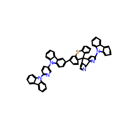 c1ccc2c(c1)Sc1cc(-c3ccc4c(c3)c3ccccc3n4-c3ccc(-n4c5ccccc5c5ccccc54)nc3)ccc1C21c2cccnc2-c2ncc(-n3c4ccccc4c4ccccc43)cc21